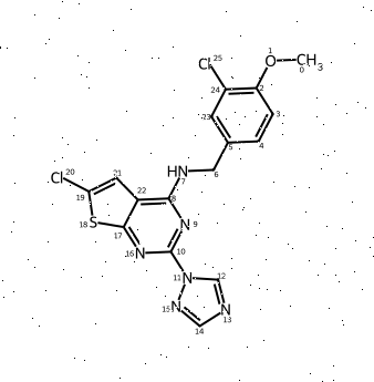 COc1ccc(CNc2nc(-n3cncn3)nc3sc(Cl)cc23)cc1Cl